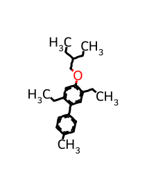 CCc1cc(-c2ccc(C)cc2)c(CC)cc1OCC(CC)CC